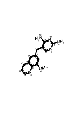 COc1cc(Cc2cnc(N)nc2N)cc2cccnc12